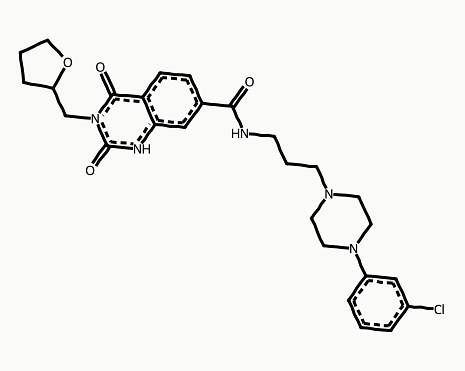 O=C(NCCCN1CCN(c2cccc(Cl)c2)CC1)c1ccc2c(=O)n(CC3CCCO3)c(=O)[nH]c2c1